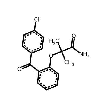 CC(C)(Oc1ccccc1C(=O)c1ccc(Cl)cc1)C(N)=O